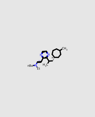 CCCCN(/C=C/c1nccnc1C(C)C[C@@H]1CCCC(C)CC1)CC